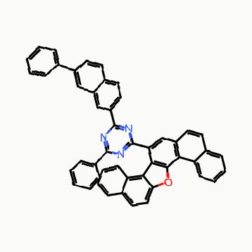 c1ccc(-c2ccc3ccc(-c4nc(-c5ccccc5)nc(-c5cc6ccc7ccccc7c6c6oc7ccc8ccccc8c7c56)n4)cc3c2)cc1